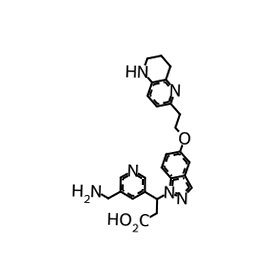 NCc1cncc(C(CC(=O)O)n2ncc3cc(OCCc4ccc5c(n4)CCCN5)ccc32)c1